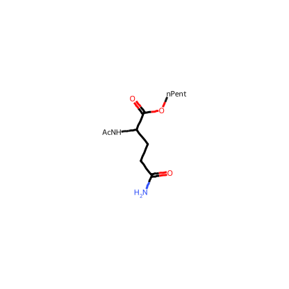 CCCCCOC(=O)C(CCC(N)=O)NC(C)=O